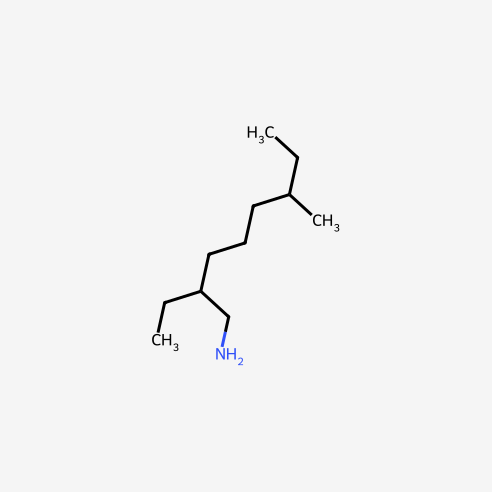 CCC(C)CCCC(CC)CN